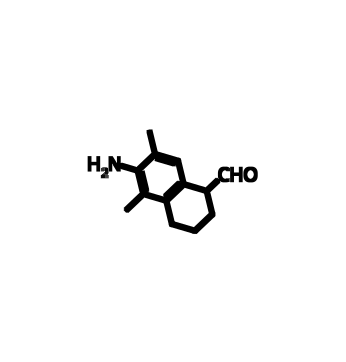 Cc1cc2c(c(C)c1N)CCCC2C=O